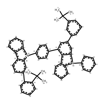 CC(C)(C)c1cccc(-c2cc(-c3ccc(-n4c5ccccc5c5ccc(-c6ccccc6C(C)(C)C)cc54)cc3)c3c4ccccc4n(-c4ccccc4)c3c2)c1